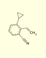 C=Cc1c(C#N)cccc1C1CC1